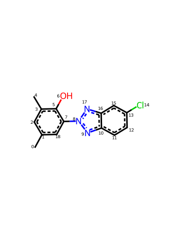 Cc1cc(C)c(O)c(-n2nc3ccc(Cl)cc3n2)c1